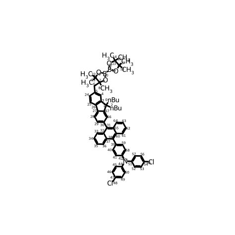 CCCCC1(CCCC)c2cc(CC3(C)OB(B4OC(C)(C)C(C)(C)O4)OC3(C)C)ccc2-c2ccc(-c3c4ccccc4c(-c4ccc(N(c5ccc(Cl)cc5)c5ccc(Cl)cc5)cc4)c4ccccc34)cc21